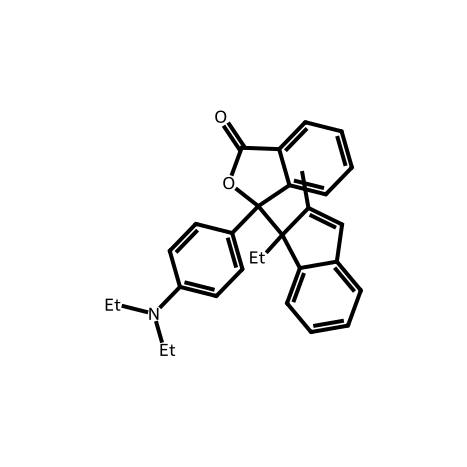 CCN(CC)c1ccc(C2(C3(CC)C(C)=Cc4ccccc43)OC(=O)c3ccccc32)cc1